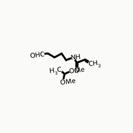 C=CC(=O)NCCCCC=O.COC(C)OC